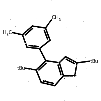 Cc1cc(C)cc(-c2c(C(C)(C)C)ccc3c2C=C(C(C)(C)C)[CH]3)c1